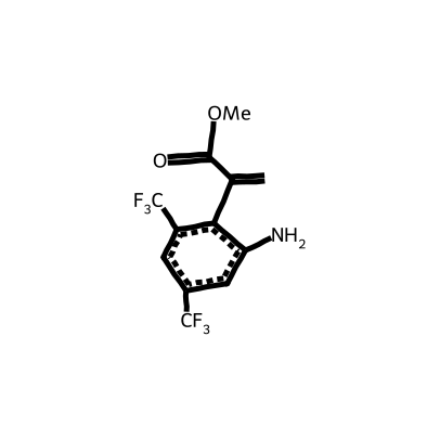 C=C(C(=O)OC)c1c(N)cc(C(F)(F)F)cc1C(F)(F)F